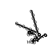 COCCOCCOCCOCCOCCOCCN(CCOCCOCCOCCOCCOCCOC)c1ccc(C(/C=C/C=C2\N(CCCCCC(=O)ON3C(=O)CCC3=O)c3ccc(S(=O)(=O)O)cc3C2(C)C)=C(/C)Cc2ccccc2)c(O)c1